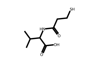 CC(C)C(NC(=O)CCS)C(=O)O